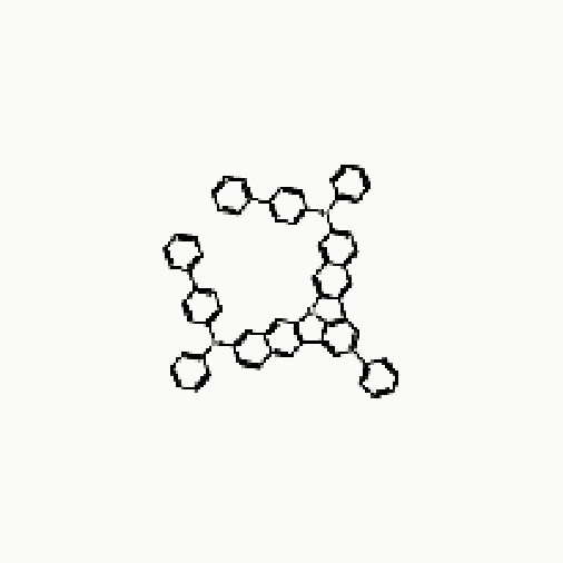 c1ccc(-c2ccc(N(c3ccccc3)c3ccc4cc5c6cc(-c7ccccc7)cc7c8cc9ccc(N(c%10ccccc%10)c%10ccc(-c%11ccccc%11)cc%10)cc9cc8n(c5cc4c3)c67)cc2)cc1